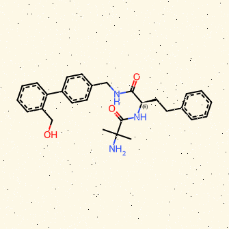 CC(C)(N)C(=O)N[C@H](CCc1ccccc1)C(=O)NCc1ccc(-c2ccccc2CO)cc1